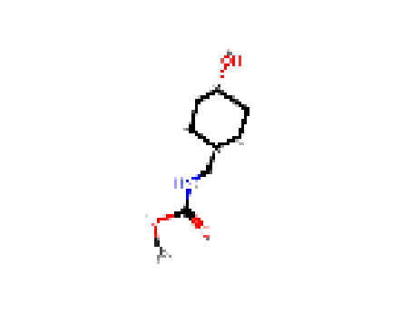 CC(C)(C)OC(=O)NC[C@H]1CC[C@H](O)CC1